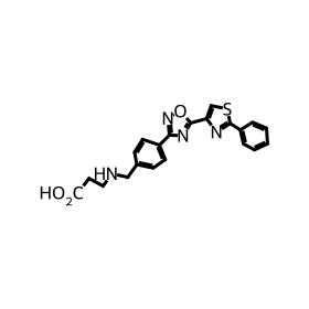 O=C(O)CCNCc1ccc(-c2noc(-c3csc(-c4ccccc4)n3)n2)cc1